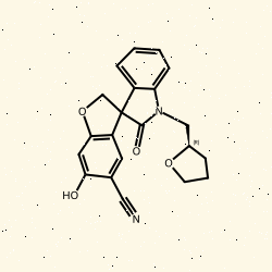 N#Cc1cc2c(cc1O)OCC21C(=O)N(C[C@H]2CCCO2)c2ccccc21